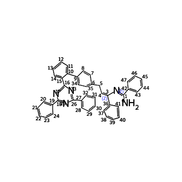 N/C(=N\C(=C/Cc1ccc(-c2ccccc2-c2nc(-c3ccccc3)nc(-c3ccccc3)n2)cc1)c1ccccc1)c1ccccc1